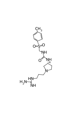 Cc1ccc(S(=O)(=O)CNC(=O)N[C@@H]2CCN(CCCNC(=N)N)C2)cc1